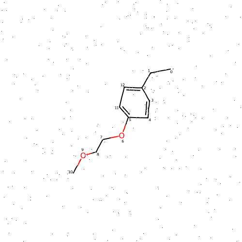 [CH2]Cc1ccc(OCCOC)cc1